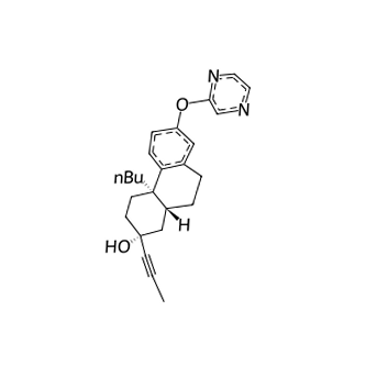 CC#C[C@@]1(O)CC[C@@]2(CCCC)c3ccc(Oc4cnccn4)cc3CC[C@@H]2C1